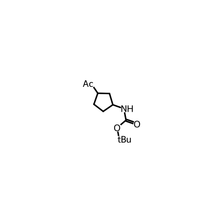 CC(=O)C1CCC(NC(=O)OC(C)(C)C)C1